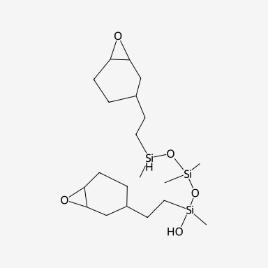 C[SiH](CCC1CCC2OC2C1)O[Si](C)(C)O[Si](C)(O)CCC1CCC2OC2C1